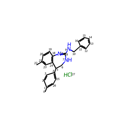 Cc1ccc(C2CNC(NCc3ccccc3)=Nc3ccc(C)cc32)cc1.Cl